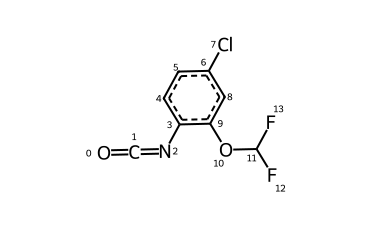 O=C=Nc1ccc(Cl)cc1OC(F)F